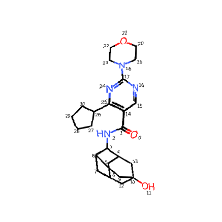 O=C(NC1C2CC3CC1CC(O)(C3)C2)c1cnc(N2CCOCC2)nc1C1CCCC1